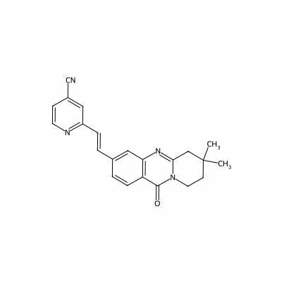 CC1(C)CCn2c(nc3cc(C=Cc4cc(C#N)ccn4)ccc3c2=O)C1